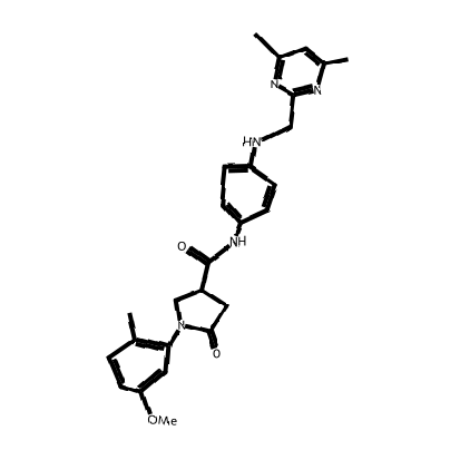 COc1ccc(C)c(N2CC(C(=O)Nc3ccc(NCc4nc(C)cc(C)n4)cc3)CC2=O)c1